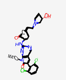 COn1c(=O)c(-c2c(Cl)cccc2Cl)cc2cnc(NC3=CC=C(CCN4CC[C@H](O)C4)CC3=O)nc21